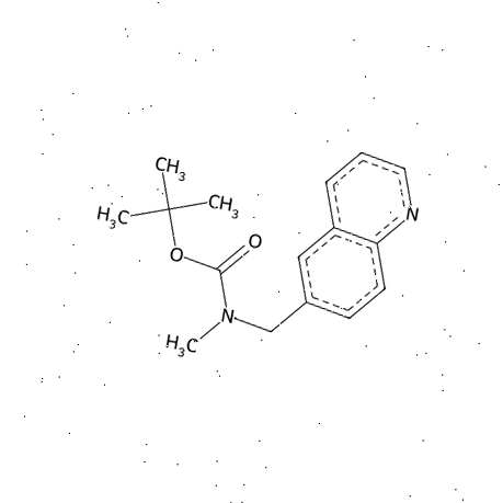 CN(Cc1ccc2ncccc2c1)C(=O)OC(C)(C)C